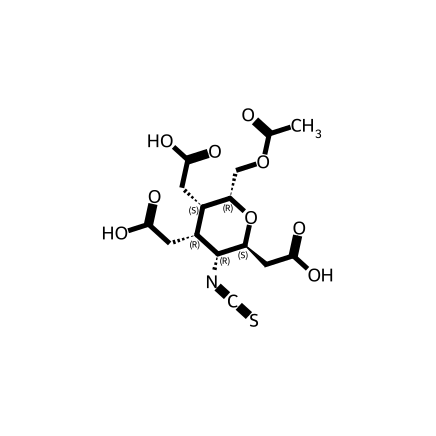 CC(=O)OC[C@@H]1O[C@@H](CC(=O)O)[C@H](N=C=S)[C@H](CC(=O)O)[C@@H]1CC(=O)O